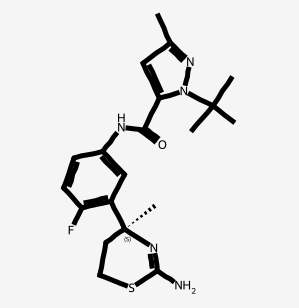 Cc1cc(C(=O)Nc2ccc(F)c([C@]3(C)CCSC(N)=N3)c2)n(C(C)(C)C)n1